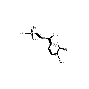 CCC[CH2][Sn](/[CH]=C/C(C)=C\C=C/[C@H](C)C(CC)C(=O)OCC)([CH2]CCC)[CH2]CCC